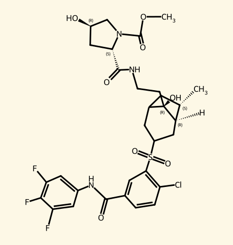 COC(=O)N1C[C@H](O)C[C@H]1C(=O)NCC[C@@]1(O)C2CC(S(=O)(=O)c3cc(C(=O)Nc4cc(F)c(F)c(F)c4)ccc3Cl)C[C@@H]1[C@@H](C)C2